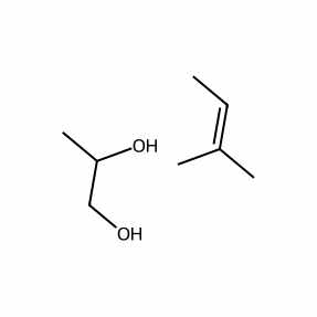 CC(O)CO.CC=C(C)C